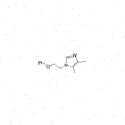 Cc1n[c]n(CCOC(C)C)c1C